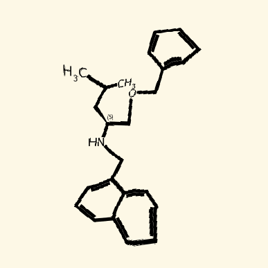 CC(C)C[C@@H](COCc1ccccc1)NCc1cccc2ccccc12